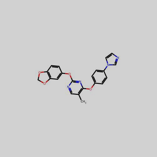 Cc1cnc(Oc2ccc3c(c2)OCO3)nc1Oc1ccc(-n2ccnc2)cc1